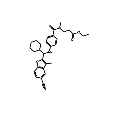 CCOC(=O)CCN(C)C(=O)c1ccc(NC(c2oc3ccc(C#N)cc3c2C)C2CCCCC2)cc1